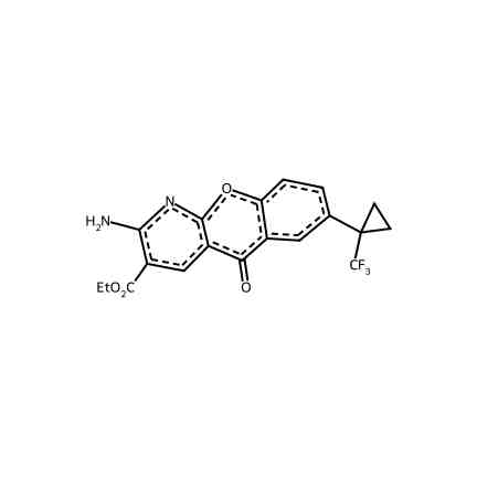 CCOC(=O)c1cc2c(=O)c3cc(C4(C(F)(F)F)CC4)ccc3oc2nc1N